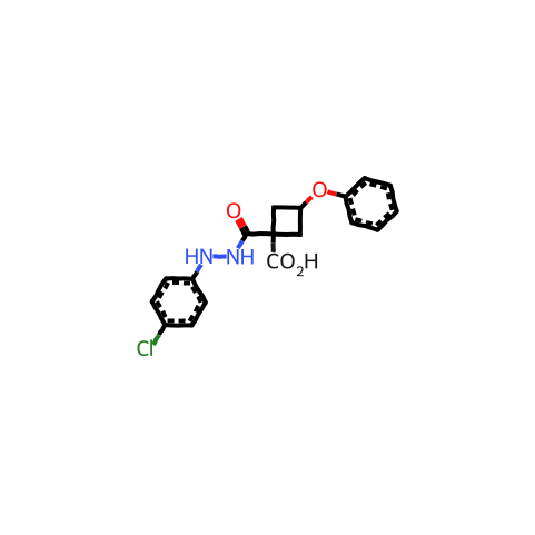 O=C(O)C1(C(=O)NNc2ccc(Cl)cc2)CC(Oc2ccccc2)C1